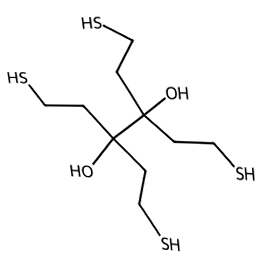 OC(CCS)(CCS)C(O)(CCS)CCS